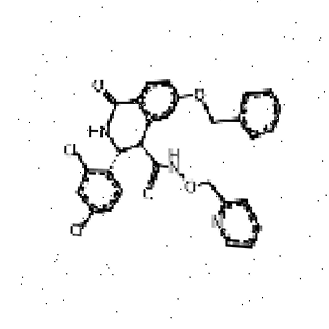 O=C1N[C@@H](c2ccc(Cl)cc2Cl)[C@H](C(=O)NOCc2ccccn2)c2cc(OCc3ccccc3)ccc21